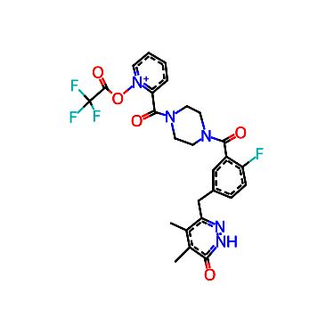 Cc1c(Cc2ccc(F)c(C(=O)N3CCN(C(=O)c4cccc[n+]4OC(=O)C(F)(F)F)CC3)c2)n[nH]c(=O)c1C